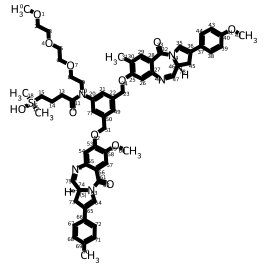 COCCOCCOCCN(C(=O)CCC[Si](C)(C)O)c1cc(COc2cc3c(cc2C)C(=O)N2C=C(c4ccc(OC)cc4)C[C@H]2C=N3)cc(COc2cc3c(cc2OC)C(=O)N2C=C(c4ccc(C)cc4)C[C@H]2C=N3)c1